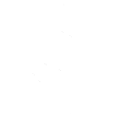 Fc1cccc(Cn2ncc3cc(Nc4ncnn5ccc(OC6CCC7OC7C6)c45)ccc32)c1